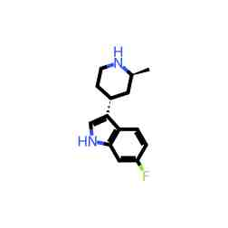 C[C@H]1C[C@H](c2c[nH]c3cc(F)ccc23)CCN1